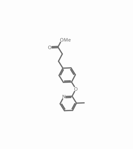 COC(=O)CCc1ccc(Oc2ncccc2C)cc1